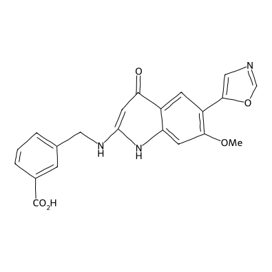 COc1cc2[nH]c(NCc3cccc(C(=O)O)c3)cc(=O)c2cc1-c1cnco1